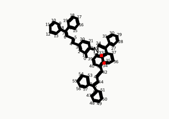 Cc1cc(C=CC=C(c2ccccc2)c2ccccc2)ccc1N(C=C(c1ccccc1)c1ccccc1)c1ccc(C=CC=C(c2ccccc2)c2ccccc2)cc1